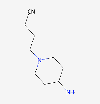 N#CCCCN1CCC([NH])CC1